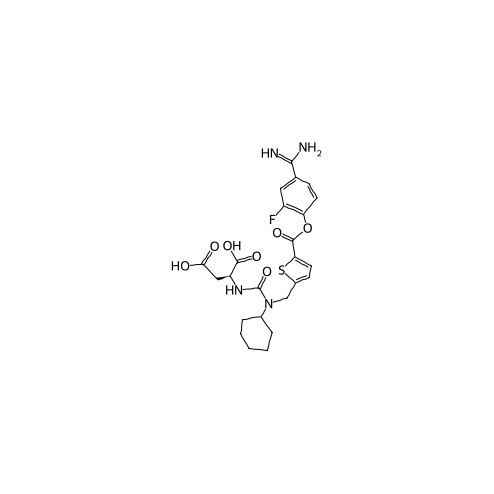 N=C(N)c1ccc(OC(=O)c2ccc(CN(C(=O)N[C@@H](CC(=O)O)C(=O)O)C3CCCCC3)s2)c(F)c1